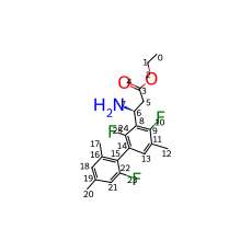 CCOC(=O)C[C@H](N)c1c(F)c(C)cc(-c2c(C)cc(C)cc2F)c1F